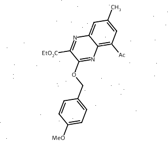 CCOC(=O)c1nc2cc(C)cc(C(C)=O)c2nc1OCc1ccc(OC)cc1